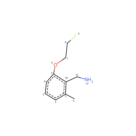 Cc1cccc(OCCF)c1CN